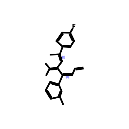 C=C/C=C(\C(/C=C(\C)c1ccc(F)cc1)=C(C)C)c1cccc(C)c1